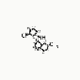 FC(F)(F)c1ccc2nccc(Nc3cccc(Cl)c3)c2c1